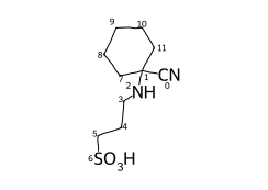 N#CC1(NCCCS(=O)(=O)O)CCCCC1